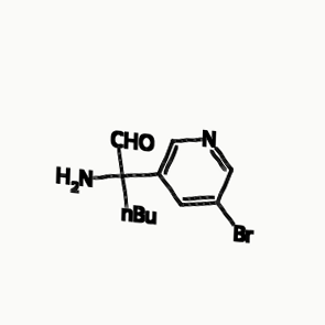 CCCCC(N)(C=O)c1cncc(Br)c1